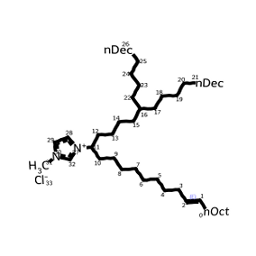 CCCCCCCC/C=C/CCCCCCCCC(CCCCC(CCCCCCCCCCCCCC)CCCCCCCCCCCCCC)[n+]1ccn(C)c1.[Cl-]